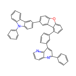 c1ccc(-c2cc(-c3cccc(-c4cccc5oc6ccc(-c7ccc8c(c7)c7ccccc7n8-c7ccccc7)cc6c45)c3)c3ncccc3n2)cc1